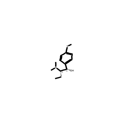 CC[C@@H]([C@@H](O)c1ccc(SC)cc1)N(C)C